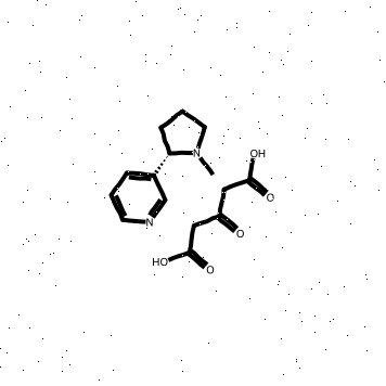 CN1CCC[C@H]1c1cccnc1.O=C(O)CC(=O)CC(=O)O